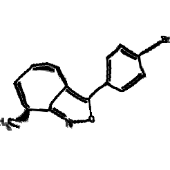 Cc1cccc2c(-c3ccc(Br)cc3)onc12